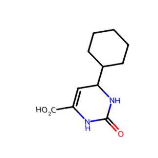 O=C1NC(C(=O)O)=CC(C2CCCCC2)N1